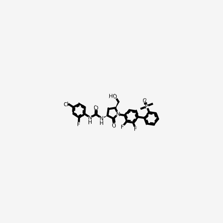 CP(C)(=O)c1ccccc1-c1ccc(N2C(=O)[C@H](NC(=O)Nc3ccc(Cl)cc3F)C[C@H]2CO)c(F)c1F